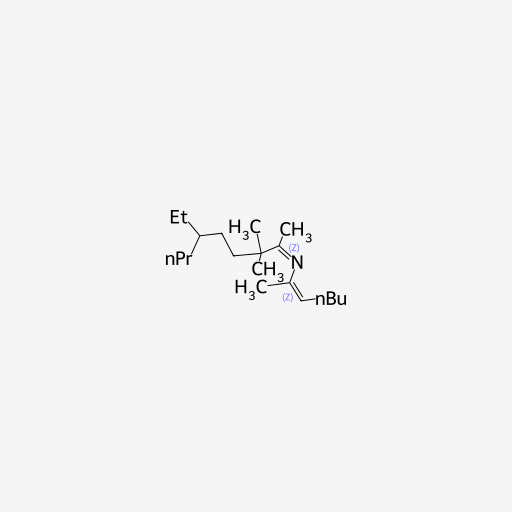 CCCC/C=C(C)\N=C(\C)C(C)(C)CCC(CC)CCC